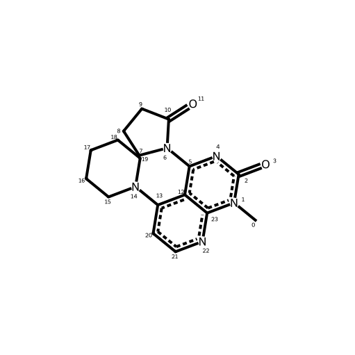 Cn1c(=O)nc(N2CCCC2=O)c2c(N3CCCCC3)ccnc21